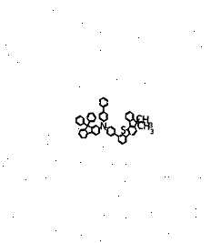 CC1(C)c2ccccc2-c2c1ccc1c2sc2c(-c3ccc(N(c4ccc(-c5ccccc5)cc4)c4ccc5c(c4)C(c4ccccc4)(c4ccccc4)c4ccccc4-5)cc3)cccc21